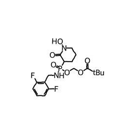 CC(C)(C)C(=O)OCOP(=O)(NCc1c(F)cccc1F)C1CCCN(O)C1=O